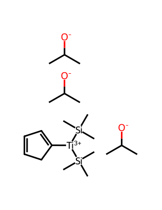 CC(C)[O-].CC(C)[O-].CC(C)[O-].C[Si](C)(C)[Ti+3]([C]1=CC=CC1)[Si](C)(C)C